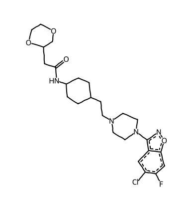 O=C(CC1COCCO1)NC1CCC(CCN2CCN(c3noc4cc(F)c(Cl)cc34)CC2)CC1